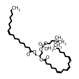 CCCCC/C=C\C/C=C\C/C=C\CCCCC(=O)O[C@H](COC(=O)CCCCCCC/C=C\CCCCCCC)COP(=O)([O-])OCC[N+](C)(C)C